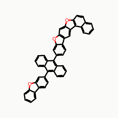 c1ccc2c(c1)ccc1oc3cc4oc5cc(-c6c7ccccc7c(-c7ccc8c(c7)oc7ccccc78)c7ccccc67)ccc5c4cc3c12